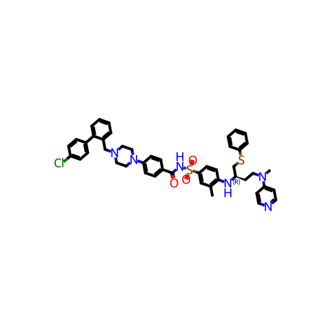 Cc1cc(S(=O)(=O)NC(=O)c2ccc(N3CCN(Cc4ccccc4-c4ccc(Cl)cc4)CC3)cc2)ccc1N[C@H](CCN(C)c1ccncc1)CSc1ccccc1